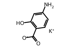 Nc1ccc(C(=O)[O-])c(O)c1.[K+]